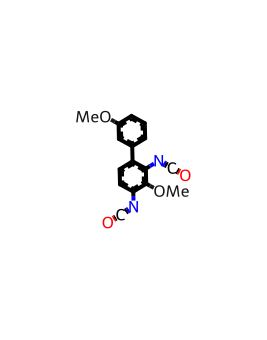 COc1cccc(-c2ccc(N=C=O)c(OC)c2N=C=O)c1